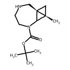 CC(C)(C)OC(=O)N1CCNC[C@@]23C[C@]2(C)C13